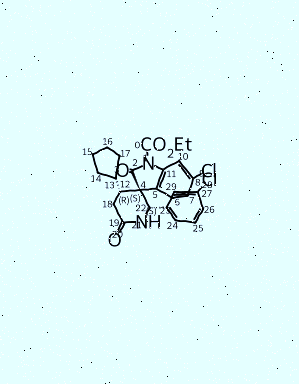 CCOC(=O)N1C(=O)[C@]2(c3ccc(Cl)cc31)[C@@H](C1CCCC1)CC(=O)N[C@H]2c1cccc(Cl)c1